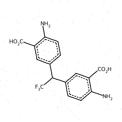 Nc1ccc(C(c2ccc(N)c(C(=O)O)c2)C(F)(F)F)cc1C(=O)O